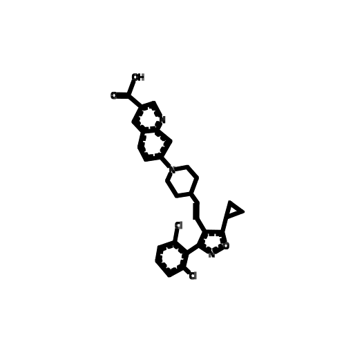 O=C(O)c1cnc2cc(N3CCC(/C=C/c4c(-c5c(Cl)cccc5Cl)noc4C4CC4)CC3)ccc2c1